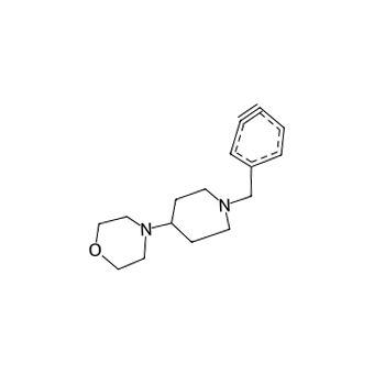 c1ccc(CN2CCC(N3CCOCC3)CC2)cc#1